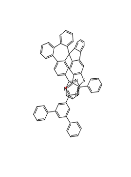 c1ccc(-c2cc(-c3ccccc3)cc(-c3nc(-c4ccccc4)nc(-c4ccc5c(c4)C4(c6ccccc6-c6ccccc6-5)c5ccccc5-c5cc6sc7ccccc7c6cc54)n3)c2)cc1